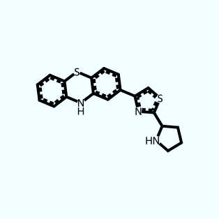 c1ccc2c(c1)Nc1cc(-c3csc(C4CCCN4)n3)ccc1S2